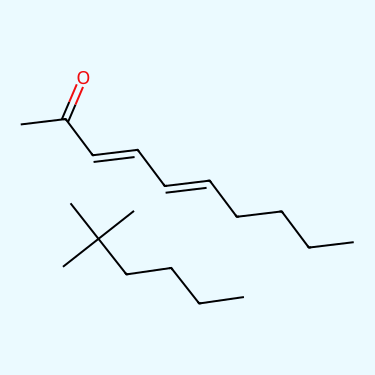 CCCCC(C)(C)C.CCCCC=CC=CC(C)=O